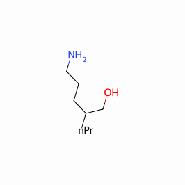 CCCC(CO)CCCN